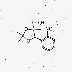 CC1(C)O[C@H](c2ccccc2[N+](=O)[O-])[C@@](C)(C(=O)O)O1